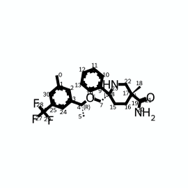 Cc1cc([C@@H](C)OC[C@@]2(c3ccccc3)CC[C@@](C)(C(N)=O)CN2)cc(C(F)(F)F)c1